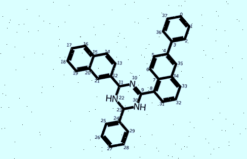 c1ccc(-c2ccc3c(C4=NC(c5ccc6ccccc6c5)NC(c5ccccc5)N4)cccc3c2)cc1